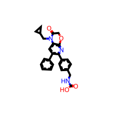 O=C(O)NCc1ccc(-c2nc3c(cc2-c2ccccc2)N(CC2CC2)C(=O)CO3)cc1